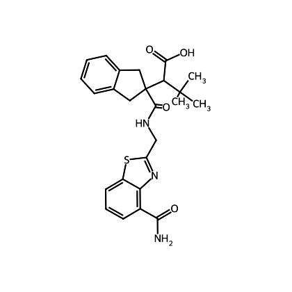 CC(C)(C)C(C(=O)O)C1(C(=O)NCc2nc3c(C(N)=O)cccc3s2)Cc2ccccc2C1